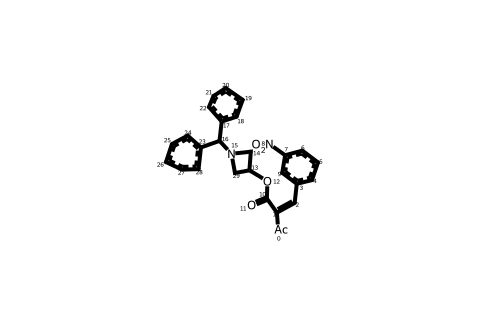 CC(=O)C(=Cc1cccc([N+](=O)[O-])c1)C(=O)OC1CN(C(c2ccccc2)c2ccccc2)C1